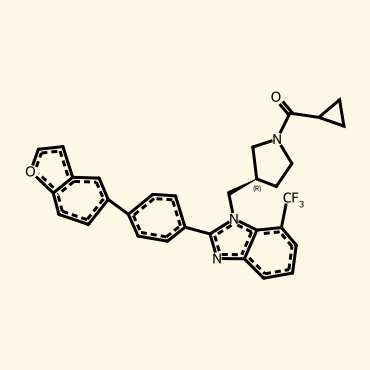 O=C(C1CC1)N1CC[C@@H](Cn2c(-c3ccc(-c4ccc5occc5c4)cc3)nc3cccc(C(F)(F)F)c32)C1